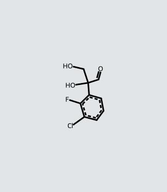 O=CC(O)(CO)c1cccc(Cl)c1F